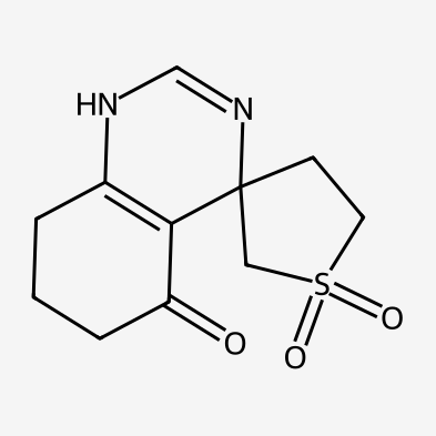 O=C1CCCC2=C1C1(CCS(=O)(=O)C1)N=CN2